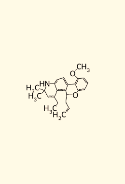 C=CCC1Oc2cccc(OC)c2-c2ccc3c(c21)C(CC)=CC(C)(C)N3